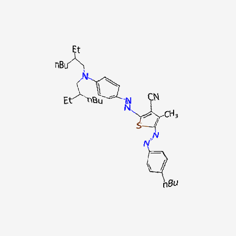 CCCCc1ccc(N=Nc2sc(N=Nc3ccc(N(CC(CC)CCCC)CC(CC)CCCC)cc3)c(C#N)c2C)cc1